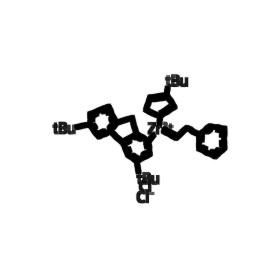 CC(C)(C)C1=CC[C]([Zr+2](=[CH]Cc2ccccc2)[c]2cc(C(C)(C)C)cc3c2Cc2ccc(C(C)(C)C)cc2-3)=C1.[Cl-].[Cl-]